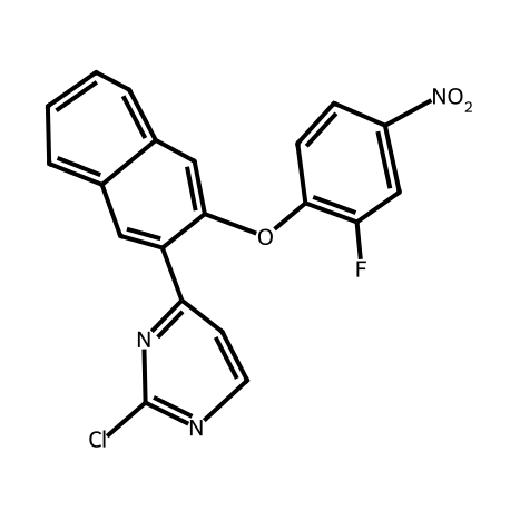 O=[N+]([O-])c1ccc(Oc2cc3ccccc3cc2-c2ccnc(Cl)n2)c(F)c1